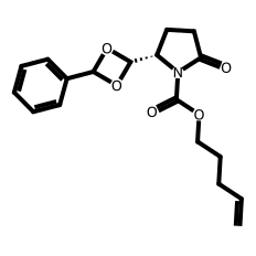 C=CCCCOC(=O)N1C(=O)CC[C@H]1C1OC(c2ccccc2)O1